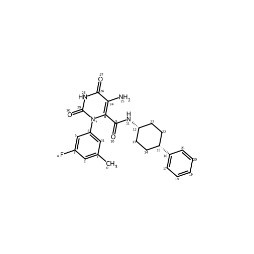 Cc1cc(F)cc(-n2c(C(=O)N[C@H]3CC[C@@H](c4ccccc4)CC3)c(N)c(=O)[nH]c2=O)c1